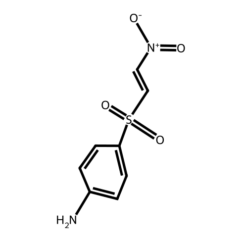 Nc1ccc(S(=O)(=O)C=C[N+](=O)[O-])cc1